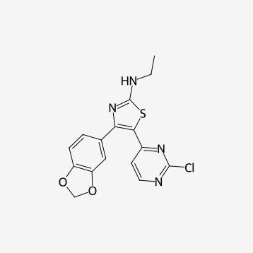 CCNc1nc(-c2ccc3c(c2)OCO3)c(-c2ccnc(Cl)n2)s1